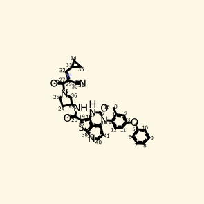 Cc1cc(Oc2ccccc2)ccc1N1C(=O)Nc2c(C(=O)NC3CCN(C(=O)/C(C#N)=C/C4CC4)C3)sc3nccc1c23